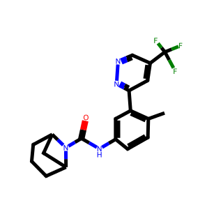 Cc1ccc(NC(=O)N2C3CCCC2C3)cc1-c1cc(C(F)(F)F)cnn1